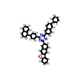 c1ccc(-c2ccc3cc(-c4nc(-c5ccc(-c6cccc7ccccc67)cc5)nc(-c5ccc6cc7c(cc6c5)oc5ccccc57)n4)ccc3c2)cc1